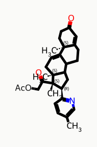 CC(=O)OCC(=O)[C@@]1(C)[C@H](c2ccc(C)cn2)CC2C3CCC4=CC(=O)CC[C@]4(C)C3=CC[C@@]21C